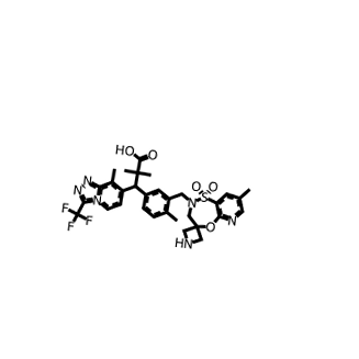 Cc1cnc2c(c1)S(=O)(=O)N(Cc1cc(C(c3ccn4c(C(F)(F)F)nnc4c3C)C(C)(C)C(=O)O)ccc1C)CC1(CNC1)O2